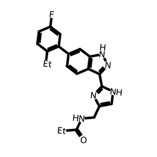 CCC(=O)NCc1c[nH]c(-c2n[nH]c3cc(-c4cc(F)ccc4CC)ccc23)n1